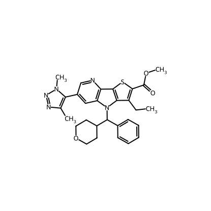 CCc1c(C(=O)OC)sc2c3ncc(-c4c(C)nnn4C)cc3n(C(c3ccccc3)C3CCOCC3)c12